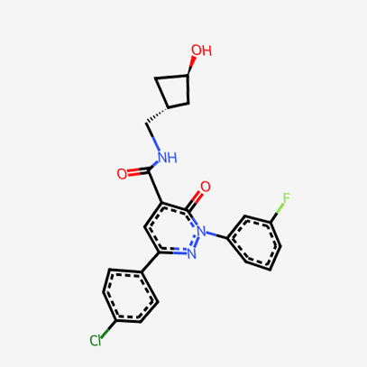 O=C(NC[C@H]1C[C@H](O)C1)c1cc(-c2ccc(Cl)cc2)nn(-c2cccc(F)c2)c1=O